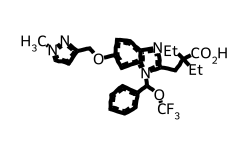 CCC(CC)(Cc1nc2ccc(OCc3ccn(C)n3)cc2n1C(OC(F)(F)F)c1ccccc1)C(=O)O